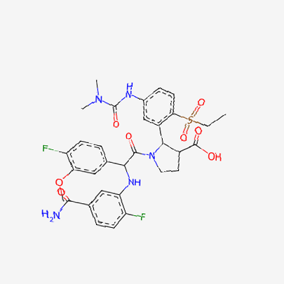 CCS(=O)(=O)c1ccc(NC(=O)N(C)C)cc1C1C(C(=O)O)CCN1C(=O)C(Nc1cc(C(N)=O)ccc1F)c1ccc(F)c(OC)c1